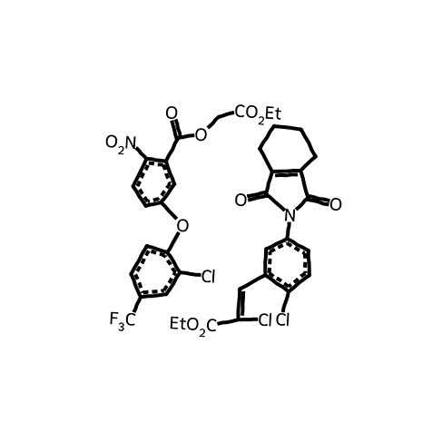 CCOC(=O)/C(Cl)=C/c1cc(N2C(=O)C3=C(CCCC3)C2=O)ccc1Cl.CCOC(=O)COC(=O)c1cc(Oc2ccc(C(F)(F)F)cc2Cl)ccc1[N+](=O)[O-]